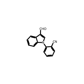 N#Cc1ccccc1-n1cc(C=O)c2ccccc21